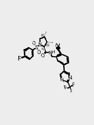 C[C@@H]1[C@@H](C(=O)NCc2cc(-c3cnc(C(F)(F)F)nc3)ccc2C#N)N(S(=O)(=O)c2ccc(F)cc2)C[C@@H]1C